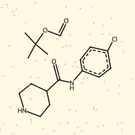 CC(C)(C)OC=O.O=C(Nc1ccc(Cl)cc1)C1CCNCC1